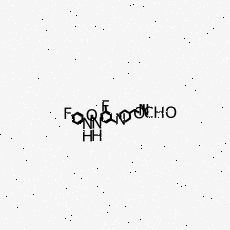 CN(C=O)OCC1CCN(Cc2cc(F)cc(NC(=O)Nc3ccc(F)cc3)c2)CC1